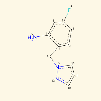 Nc1cc(F)ccc1Cn1cccn1